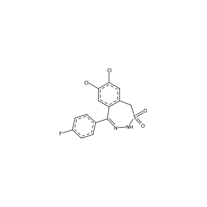 O=S1(=O)Cc2cc(Cl)c(Cl)cc2C(c2ccc(F)cc2)=NN1